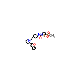 CS(=O)(=O)c1ccc(C(=O)N[C@H]2CC[C@H](CCN3CCCCC3c3coc4cccc-4c3)CC2)s1